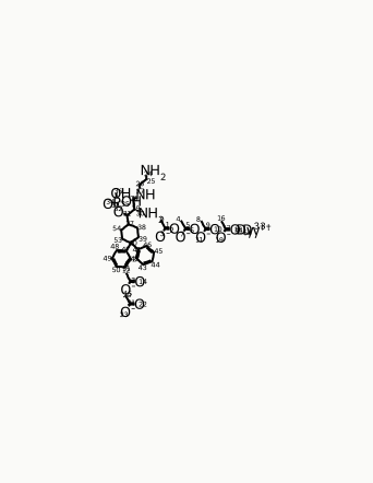 CC(=O)[O-].CC(=O)[O-].CC(=O)[O-].CC(=O)[O-].CC(=O)[O-].CC(=O)[O-].NCCNC[C@@H](N)C(OP(=O)(O)O)C1CCC(c2ccccc2)(c2ccccc2)CC1.[Dy+3].[Dy+3]